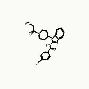 N#CCC(=O)N1CCC(n2c(NC(=O)c3ccc(Cl)cc3)nc3ccccc32)CC1